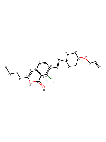 C=CCOC1CCC(/C=C/c2ccc3cc(CCCC)oc(=O)c3c2F)CC1